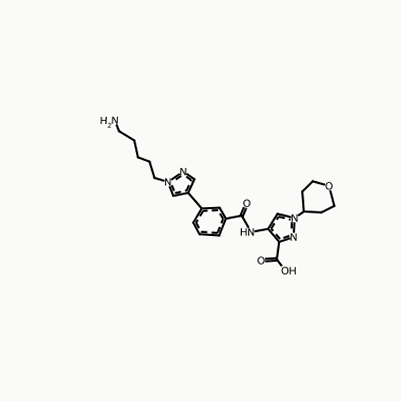 NCCCCCn1cc(-c2cccc(C(=O)Nc3cn(C4CCOCC4)nc3C(=O)O)c2)cn1